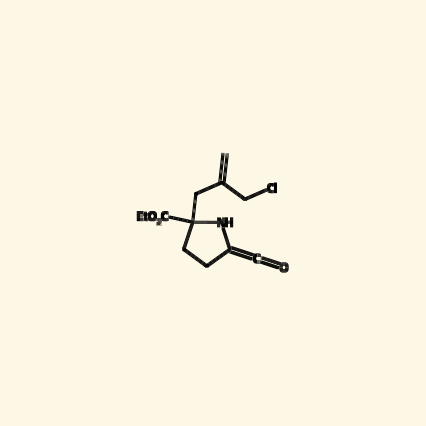 C=C(CCl)CC1(C(=O)OCC)CCC(=C=O)N1